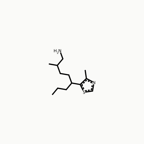 CCCC(CCC(C)CN)c1scnc1C